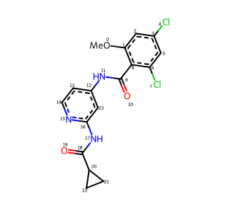 COc1cc(Cl)cc(Cl)c1C(=O)Nc1ccnc(NC(=O)C2CC2)c1